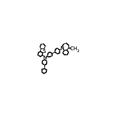 C=C1/C=C\C=C/N(c2ccc(-c3ccc(N(c4ccc(-c5ccccc5)cc4)c4cccc5c4SC4C=CC=CC54)cc3)cc2)c2ccccc21